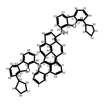 c1ccc(-c2ccccc2N(c2ccc3ccc4c(Nc5cccc6c5oc5c(C7CCCC7)cccc56)ccc5ccc2c3c54)c2cccc3c2oc2c(C4CCCC4)cccc23)cc1